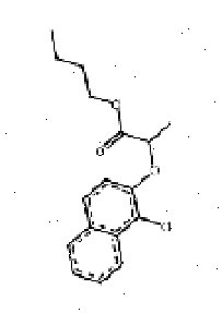 CCCCOC(=O)C(C)Oc1ccc2ccccc2c1Cl